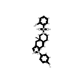 C[C@]12Cc3cnn(-c4ccc(F)cc4)c3C=C1CCN(S(=O)(=O)c1ccccc1F)C2